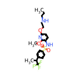 CCCNCCOc1ccc(NS(=O)(=O)c2ccc(C(C)C(F)(F)F)cc2)c(OC)n1